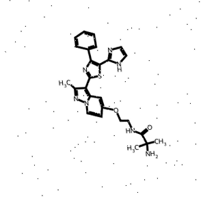 Cc1nn2ccc(OCCNC(=O)C(C)(C)N)cc2c1-c1nc(-c2ccccc2)c(-c2ncc[nH]2)s1